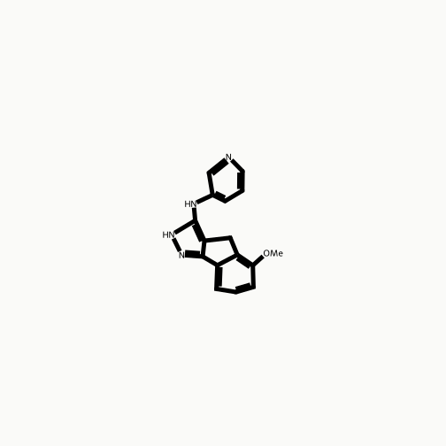 COc1cccc2c1Cc1c-2n[nH]c1Nc1cccnc1